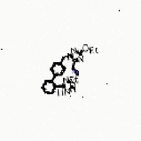 CC/C=C/c1nc(OCC)nn1Cc1ccc(-c2ccccc2-c2nnn[nH]2)cc1